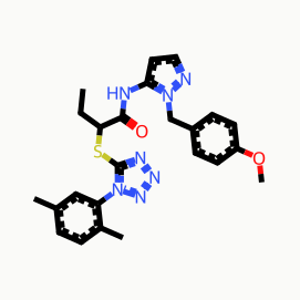 CCC(Sc1nnnn1-c1cc(C)ccc1C)C(=O)Nc1ccnn1Cc1ccc(OC)cc1